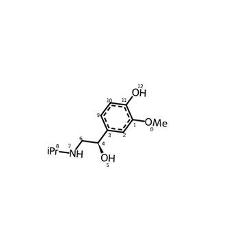 COc1cc([C@@H](O)CNC(C)C)ccc1O